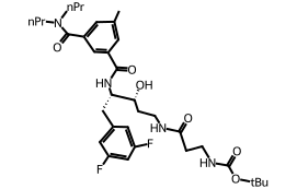 CCCN(CCC)C(=O)c1cc(C)cc(C(=O)N[C@@H](Cc2cc(F)cc(F)c2)[C@H](O)CCNC(=O)CCNC(=O)OC(C)(C)C)c1